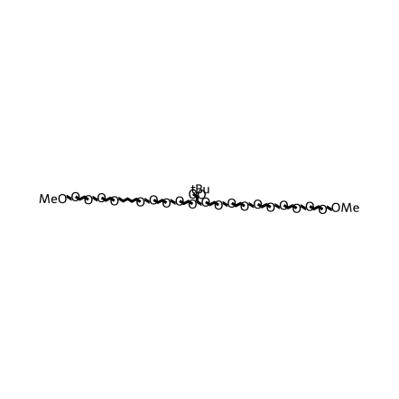 COCCOCCOCCOCCOCCCCCOCCOCCOCCOCCOC(COCCOCCOCCOCCOCCOCCOCCOCCOCCOCCOC)C(=O)OC(C)(C)C